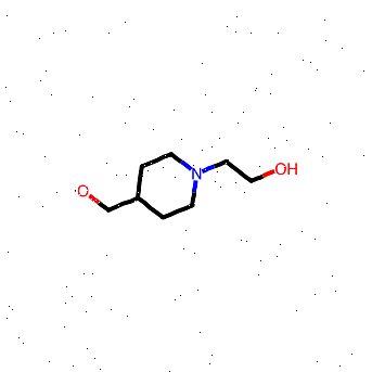 [O]CC1CCN(CCO)CC1